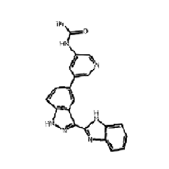 CC(C)C(=O)Nc1cncc(-c2ccc3[nH]nc(-c4nc5ccccc5[nH]4)c3c2)c1